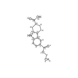 CCOC(=O)c1ccc2[nH]c3c(c2c1)CCC(C(=O)O)C3